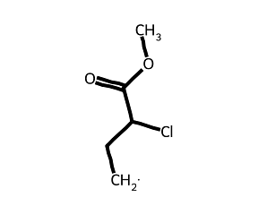 [CH2]CC(Cl)C(=O)OC